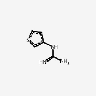 N=C(N)Nc1ccsc1